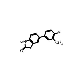 Cc1cc(-c2ccc3c(c2)CC(=O)N3)ccc1F